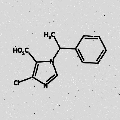 CC(c1ccccc1)n1cnc(Cl)c1C(=O)O